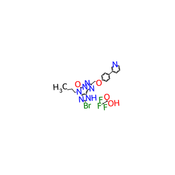 CCCCn1c(=O)n2nc(COc3ccc(-c4cccnc4)cc3)nc2c2[nH]c(Br)nc21.O=C(O)C(F)(F)F